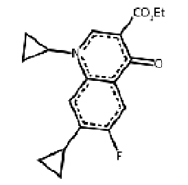 CCOC(=O)c1cn(C2CC2)c2cc(C3CC3)c(F)cc2c1=O